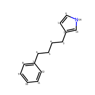 C1=CC(CCCCc2ccccc2)=C[N]1